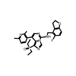 CCP(=O)(CC)c1ncn2c(NCc3c(F)ccc4c3CCO4)ncc(-c3ccc(C)nc3C)c12